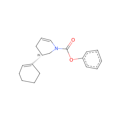 O=C(Oc1ccccc1)N1C=CC[C@@H](C2=CCCCC2)C1